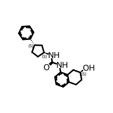 O=C(Nc1cccc2c1C[C@@H](O)CC2)N[C@H]1CC[C@H](c2ccccc2)C1